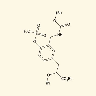 CCOC(=O)C(Cc1ccc(OS(=O)(=O)C(F)(F)F)c(CNC(=O)OC(C)(C)C)c1)OC(C)C